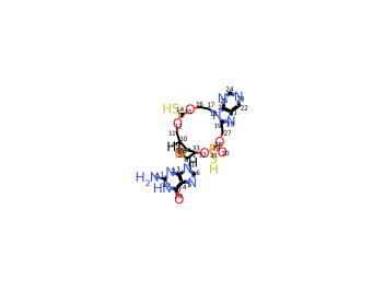 Nc1nc2c(ncn2[C@@H]2O[C@@H]3COC(S)OCCn4c(nc5cncnc54)COP(=O)(S)O[C@@H]2C3(F)F)c(=O)[nH]1